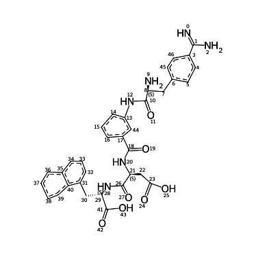 N=C(N)c1ccc(C[C@H](N)C(=O)Nc2cccc(C(=O)N[C@@H](CC(=O)O)C(=O)N[C@@H](Cc3cccc4ccccc34)C(=O)O)c2)cc1